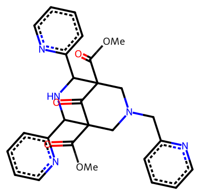 COC(=O)C12CN(Cc3ccccn3)CC(C(=O)OC)(C1=O)C(c1ccccn1)NC2c1ccccn1